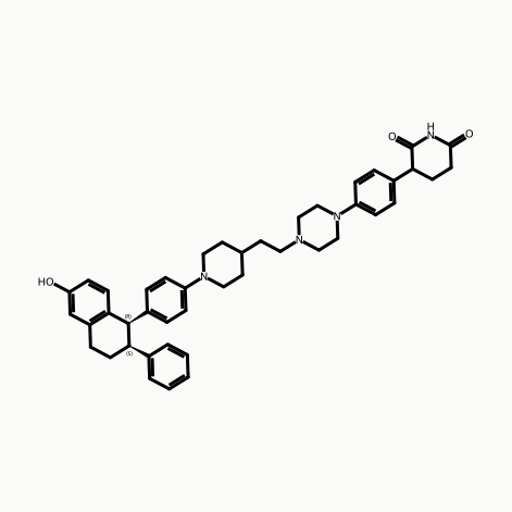 O=C1CCC(c2ccc(N3CCN(CCC4CCN(c5ccc([C@@H]6c7ccc(O)cc7CC[C@@H]6c6ccccc6)cc5)CC4)CC3)cc2)C(=O)N1